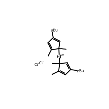 CCCCC1=C[C](C)([Hf+2][C]2(C)C=C(CCCC)C=C2C)C(C)=C1.[Cl-].[Cl-]